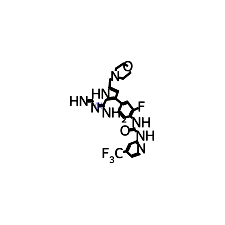 N=C/N=C(/N)c1[nH]c(CN2CCOCC2)cc1-c1ccc(NC(=O)Nc2cc(C(F)(F)F)ccn2)c(F)c1